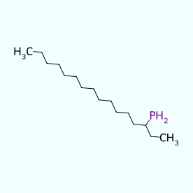 CCCCCCCCCCCCCC(P)CC